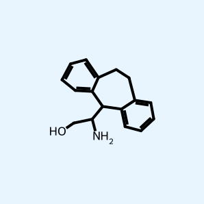 NC(CO)C1c2ccccc2CCc2ccccc21